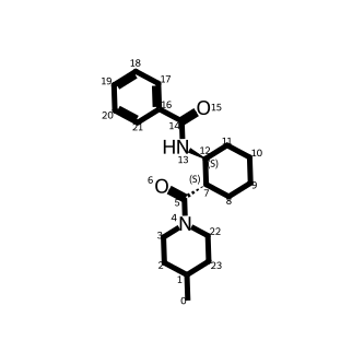 CC1CCN(C(=O)[C@H]2CCCC[C@@H]2NC(=O)c2ccccc2)CC1